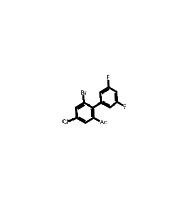 CC(=O)c1cc(Cl)cc(Br)c1-c1cc(F)cc(F)c1